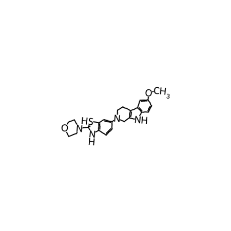 COc1ccc2[nH]c3c(c2c1)CCN(c1ccc2c(c1)[SH]=C(N1CCOCC1)N2)C3